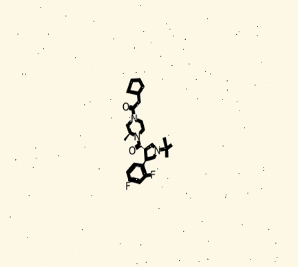 C[C@H]1CN(C(=O)CC2CCCC2)CCN1C(=O)[C@@H]1CN(C(C)(C)C)C[C@H]1c1ccc(F)cc1F